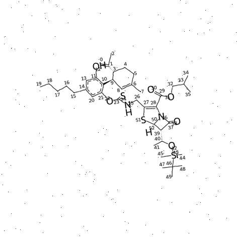 C=C(C)[C@@H]1CCC(C)=C[C@H]1c1c(O)cc(CCCCC)cc1OC(=S)NCC1=C(C(=O)OCC(C)C)N2C(=O)[C@H](C(C)O[Si](C)(C)C(C)(C)C)[C@H]2S1